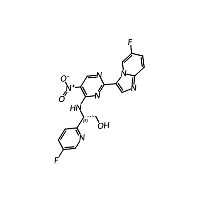 O=[N+]([O-])c1cnc(-c2cnc3ccc(F)cn23)nc1N[C@H](CO)c1ccc(F)cn1